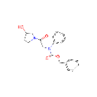 O=C(CN(C(=O)OCc1ccccc1)c1ccccc1)N1CCC(O)C1